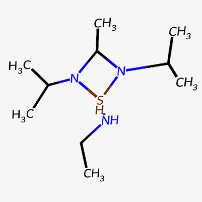 CCN[SH]1N(C(C)C)C(C)N1C(C)C